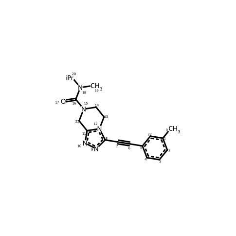 Cc1cccc(C#Cc2nnc3n2CCN(C(=O)N(C)C(C)C)C3)c1